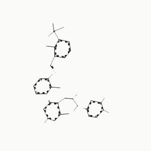 CC(C)(C)c1cccc(/C=N/c2ccccc2S[C@H]2c3c(O)cc(O)cc3O[C@H](c3ccc(O)c(O)c3)[C@@H]2O)c1O